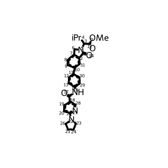 COC(=O)C(C(C)C)N1Cc2ccc(-c3ccc(NC(=O)c4ccc(N5CCCC5)nc4)cc3)cc2C1=O